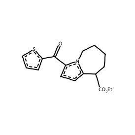 CCOC(=O)C1CCCCn2c(C(=O)c3cccs3)ccc21